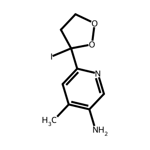 Cc1cc(C2(I)CCOO2)ncc1N